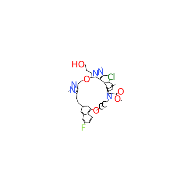 COC(=O)c1c(C)c2c3c(Cl)ccc2n1CCCOc1cc(cc2cc(F)ccc12)CCc1cc(nn1C)COC(CCCO)c1nn(C)c(C)c1-3